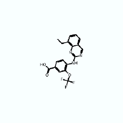 CCc1cccc2cnc(Nc3ccc(C(=O)O)cc3OC(F)(F)F)nc12